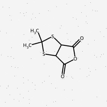 CC1(C)SC2C(=O)OC(=O)C2S1